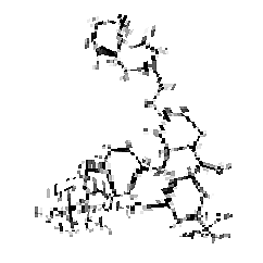 Cc1cc(C(=S)N2CCN(CCN3CCc4ncccc4C3)CC2Cc2ccc(Cl)c(O[Si](C)(C)C(C)(C)C)c2)cc(C(F)(F)F)c1